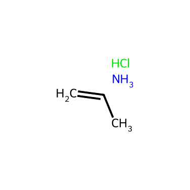 C=CC.Cl.N